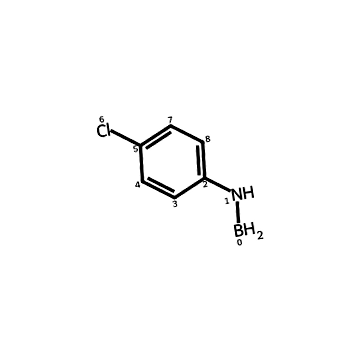 BNc1ccc(Cl)cc1